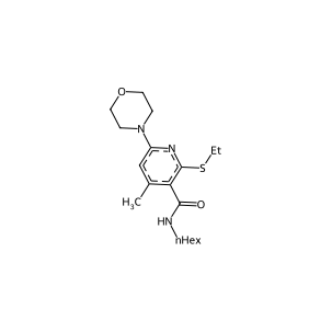 CCCCCCNC(=O)c1c(C)cc(N2CCOCC2)nc1SCC